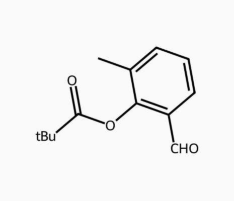 Cc1cccc(C=O)c1OC(=O)C(C)(C)C